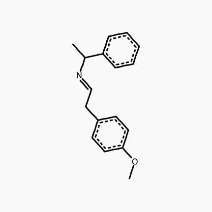 COc1ccc(CC=NC(C)c2ccccc2)cc1